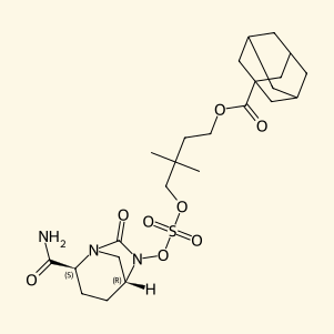 CC(C)(CCOC(=O)C12CC3CC(CC(C3)C1)C2)COS(=O)(=O)ON1C(=O)N2C[C@H]1CC[C@H]2C(N)=O